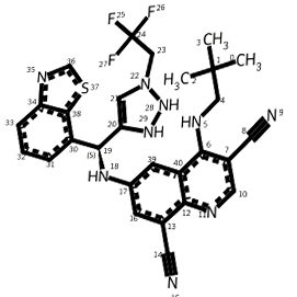 CC(C)(C)CNc1c(C#N)cnc2c(C#N)cc(N[C@H](C3=CN(CC(F)(F)F)NN3)c3cccc4ncsc34)cc12